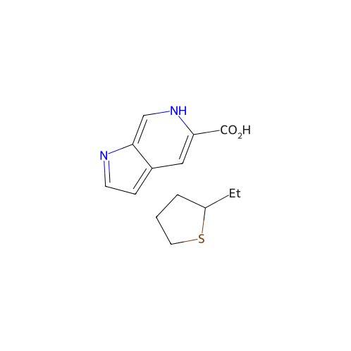 CCC1CCCS1.O=C(O)c1cc2ccnc-2c[nH]1